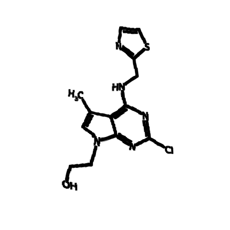 Cc1cn(CCO)c2nc(Cl)nc(NCc3nccs3)c12